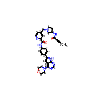 CC#CC(=O)NC1CCN(Cc2ccnc(C(=O)Nc3ccc(-c4cc5c(N6CCOCC6)ncnc5[nH]4)cc3)c2)C1